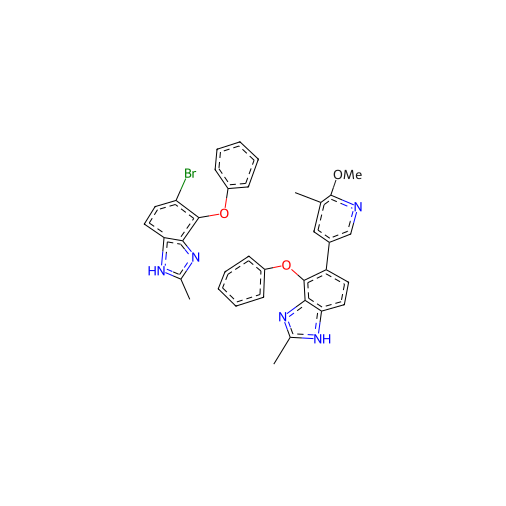 COc1ncc(-c2ccc3[nH]c(C)nc3c2Oc2ccccc2)cc1C.Cc1nc2c(Oc3ccccc3)c(Br)ccc2[nH]1